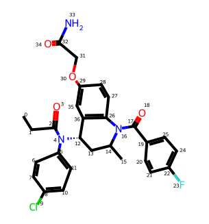 CCC(=O)N(c1ccc(Cl)cc1)[C@H]1CC(C)N(C(=O)c2ccc(F)cc2)c2ccc(OCC(N)=O)cc21